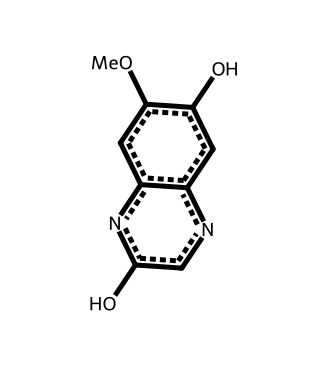 COc1cc2nc(O)cnc2cc1O